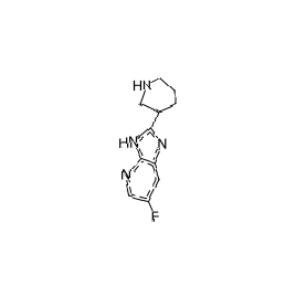 Fc1cnc2[nH]c(C3CCCNC3)nc2c1